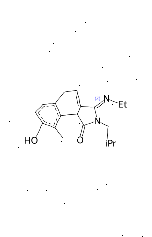 CC/N=C1/C2=CCc3ccc(O)c(C)c3C2C(=O)N1CC(C)C